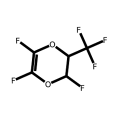 FC1=C(F)OC(C(F)(F)F)C(F)O1